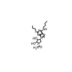 CCCCNc1nc(SCCC)nc2c1nnn2C1C[C@H](C(N)=O)C(O)C1O